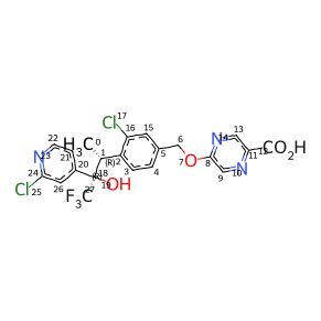 C[C@H](c1ccc(COc2cnc(C(=O)O)cn2)cc1Cl)[C@@](O)(c1ccnc(Cl)c1)C(F)(F)F